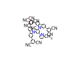 Cc1cccc(-c2cc(-n3c4cc(-c5cc(C#N)cc(C#N)c5)ccc4c4ccc(-c5cc(C#N)cc(C#N)c5)cc43)c(C#N)c(-n3c4cc(-c5cc(C#N)cc(C#N)c5)ccc4c4ccc(-c5cc(C#N)cc(C#N)c5)cc43)c2)n1